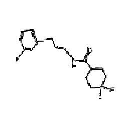 O=C(NCCCc1cccc(F)c1)C1CCC(F)(F)CC1